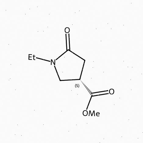 CCN1C[C@@H](C(=O)OC)CC1=O